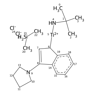 CC(C)(C)[NH][Ti+2][CH]1C=C(N2CCCC2)c2ccccc21.C[SiH2]C.[Cl-].[Cl-]